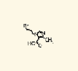 Cc1ncn(CCCBr)c1C(=O)O